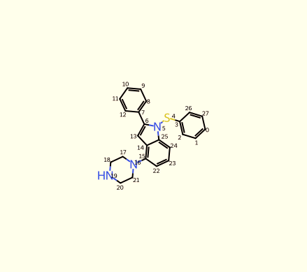 c1ccc(Sn2c(-c3ccccc3)cc3c(N4CCNCC4)cccc32)cc1